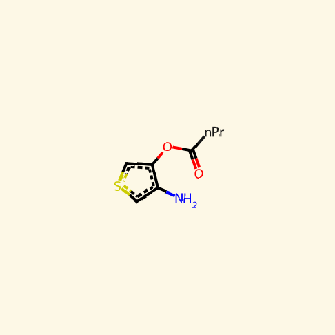 CCCC(=O)Oc1cscc1N